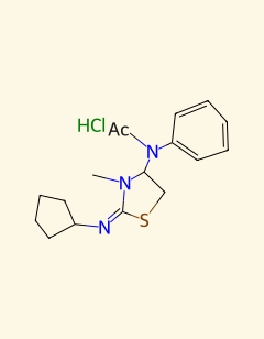 CC(=O)N(c1ccccc1)C1CSC(=NC2CCCC2)N1C.Cl